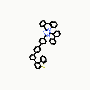 c1ccc(-c2ccccc2-c2nc(-c3ccc(-c4ccc(-c5cccc(-c6cccc7sc8ccccc8c67)c5)cc4)cc3)nc(-c3ccccc3-c3ccccc3)n2)cc1